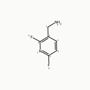 NCc1ccc(F)nc1F